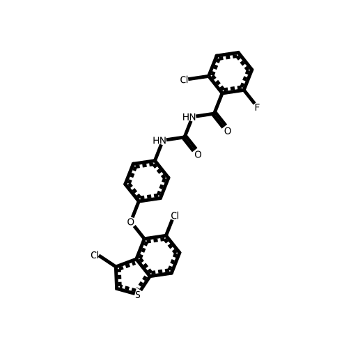 O=C(NC(=O)c1c(F)cccc1Cl)Nc1ccc(Oc2c(Cl)ccc3scc(Cl)c23)cc1